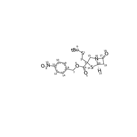 CC(C)(C)SCC1(C(=O)OCc2ccc([N+](=O)[O-])cc2)CN2C(=O)C[C@H]2S1